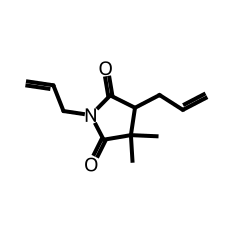 C=CCC1C(=O)N(CC=C)C(=O)C1(C)C